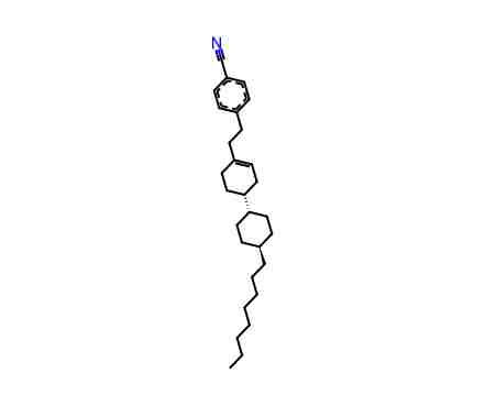 CCCCCCCC[C@H]1CC[C@H](C2CC=C(CCc3ccc(C#N)cc3)CC2)CC1